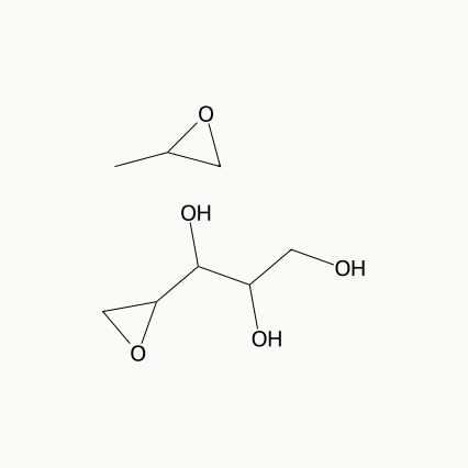 CC1CO1.OCC(O)C(O)C1CO1